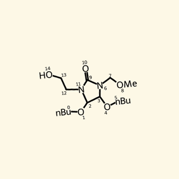 CCCCOC1C(OCCCC)N(COC)C(=O)N1CCO